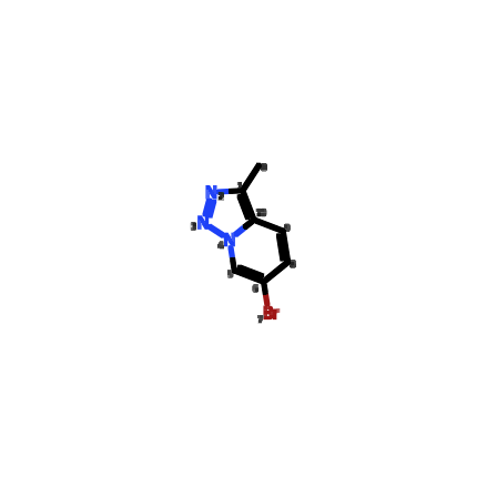 Cc1nnn2cc(Br)ccc12